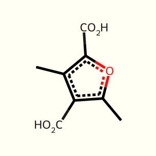 Cc1oc(C(=O)O)c(C)c1C(=O)O